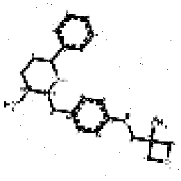 C[C@H]1CCC(c2ccccc2)SN1Cc1ccc(OCC2(C)COC2)cc1